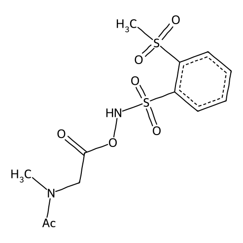 CC(=O)N(C)CC(=O)ONS(=O)(=O)c1ccccc1S(C)(=O)=O